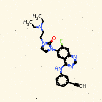 C#Cc1cccc(Nc2ncnc3cc(F)c(-n4ccn(CCN(CC)CC)c4=O)cc23)c1